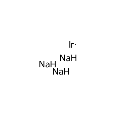 [Ir].[NaH].[NaH].[NaH]